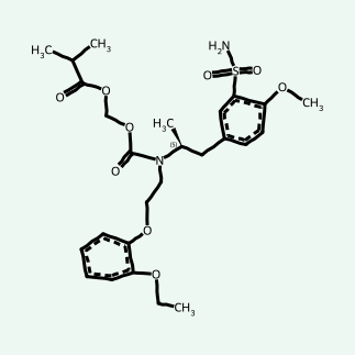 CCOc1ccccc1OCCN(C(=O)OCOC(=O)C(C)C)[C@@H](C)Cc1ccc(OC)c(S(N)(=O)=O)c1